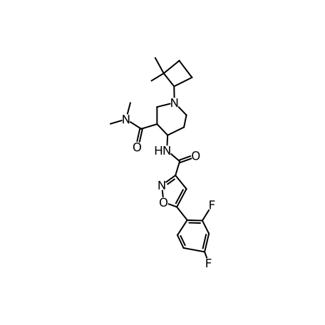 CN(C)C(=O)C1CN(C2CCC2(C)C)CCC1NC(=O)c1cc(-c2ccc(F)cc2F)on1